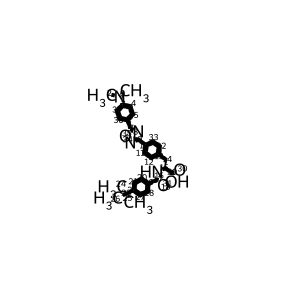 CN(C)c1ccc(-c2nc(-c3ccc(C[C@H](NC(=O)c4ccc(C(C)(C)C)cc4)C(=O)O)cc3)no2)cc1